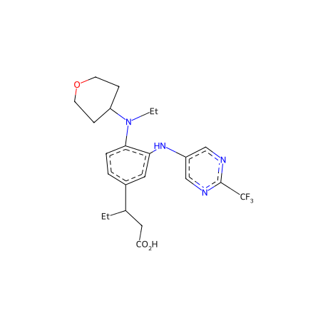 CCC(CC(=O)O)c1ccc(N(CC)C2CCOCC2)c(Nc2cnc(C(F)(F)F)nc2)c1